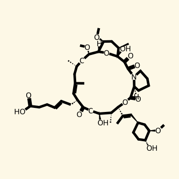 CO[C@H]1C[C@@H](C)C/C(C)=C/[C@@H](C/C=C/CCC(=O)O)C(=O)C[C@H](O)[C@@H](C)[C@@H](/C(C)=C/[C@@H]2CC[C@@H](O)[C@H](OC)C2)OC(=O)[C@@H]2CCCCN2C(=O)C(=O)[C@]2(O)O[C@H]1[C@@H](OC)C[C@H]2C